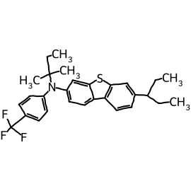 CCC(CC)c1ccc2c(c1)sc1cc(N(c3ccc(C(F)(F)F)cc3)C(C)(C)CC)ccc12